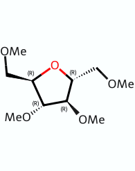 COC[C@H]1O[C@H](COC)[C@@H](OC)[C@@H]1OC